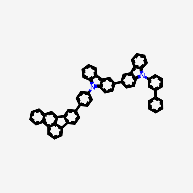 c1ccc(-c2cccc(-n3c4ccccc4c4cc(-c5ccc6c(c5)c5ccccc5n6-c5ccc(-c6ccc7c(c6)-c6cc8ccccc8c8cccc-7c68)cc5)ccc43)c2)cc1